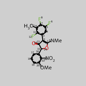 CNC1=C(c2cc(F)c(F)c(C)c2F)C(=O)C(c2cccc(OC)c2[N+](=O)[O-])O1